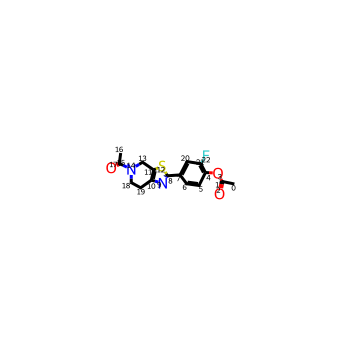 CC(=O)Oc1ccc(-c2nc3c(s2)CN(C(C)=O)CC3)cc1F